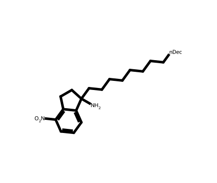 CCCCCCCCCCCCCCCCCCC1(N)CCc2c([N+](=O)[O-])cccc21